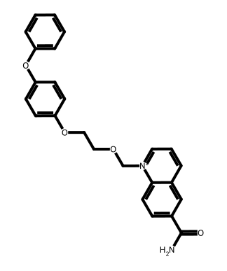 NC(=O)c1ccc2c(ccc[n+]2COCCOc2ccc(Oc3ccccc3)cc2)c1